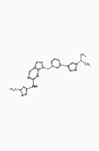 CC(C)n1cc(-c2cccc(Cn3ncc4cnc(Nc5cnn(C)c5)nc43)c2)cn1